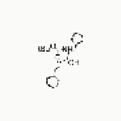 CC(C)(C)OC(=O)N[C@@H](Cc1ccccc1)[C@@H](O)[CH]CCc1ccccc1